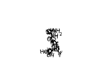 CN(C)CCN(Cc1ccc(C(=O)Nc2cscc2N)nc1)C(=O)Nc1ccc(O)c(O)c1